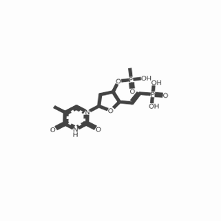 Cc1cn(C2CC(OP(C)(=O)O)C(/C=C/P(=O)(O)O)O2)c(=O)[nH]c1=O